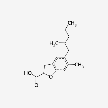 C=C(CCC)Cc1cc2c(cc1C)OC(C(=O)O)C2